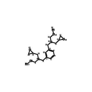 CCOCN(Cc1cccc(CN(COCC)CC2CO2)c1)CC1CO1